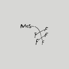 [CH2]SCC(F)(F)C(F)(F)F